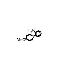 COC1CCN(c2ccncc2N)CC1